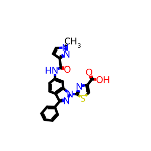 Cn1ccc(C(=O)Nc2ccc3c(-c4ccccc4)nn(-c4nc(C(=O)O)cs4)c3c2)n1